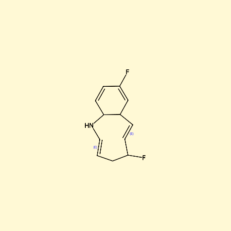 FC1=CC2/C=C/C(F)C/C=C/NC2C=C1